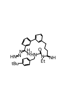 CCN(C(=N)CCCc1cccc(-c2cccc(/C(N)=N/N=N)c2)c1)C(=O)NCc1ccc(C(C)(C)C)cc1